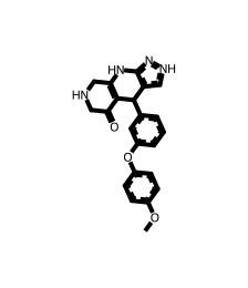 COc1ccc(Oc2cccc(C3C4=C(CNCC4=O)Nc4n[nH]cc43)c2)cc1